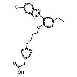 CCc1ccc(OCCCOc2ccc(CC(=O)O)cc2)c(-n2nc3ccc(Cl)cc3n2)c1